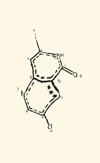 O=c1[nH]c(I)cc2ncc(Cl)cc12